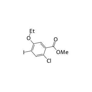 CCOc1cc(C(=O)OC)c(Cl)cc1I